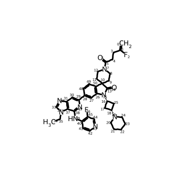 C=C(F)CCC(=O)N1CCC2(CC1)C(=O)N([C@H]1C[C@@H](N3CCCCC3)C1)c1cc(-c3cc4ncn(CC)c4c(Nc4ccncc4F)n3)ccc12